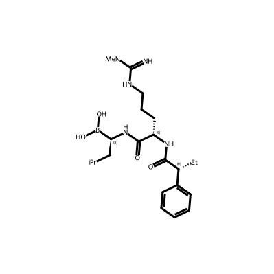 CC[C@@H](C(=O)N[C@@H](CCCNC(=N)NC)C(=O)N[C@@H](CC(C)C)B(O)O)c1ccccc1